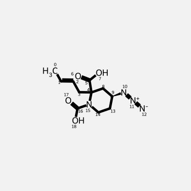 CC=CCC1(C(=O)O)C[C@@H](N=[N+]=[N-])CCN1C(=O)O